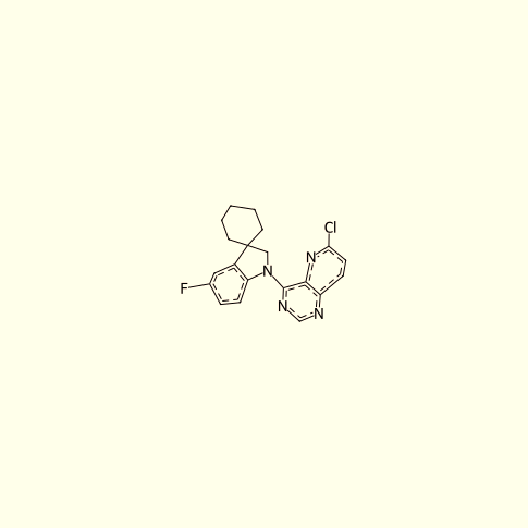 Fc1ccc2c(c1)C1(CCCCC1)CN2c1ncnc2ccc(Cl)nc12